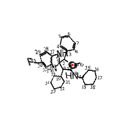 COC(c1ccccc1)C1(C(C(=O)NC2CCCCC2)C2CCCCC2)Nc2ccc(F)cc2N1